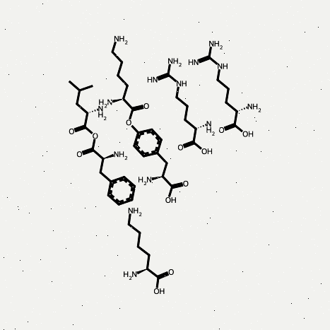 CC(C)C[C@H](N)C(=O)OC(=O)[C@@H](N)Cc1ccccc1.N=C(N)NCCC[C@H](N)C(=O)O.N=C(N)NCCC[C@H](N)C(=O)O.NCCCC[C@H](N)C(=O)O.NCCCC[C@H](N)C(=O)Oc1ccc(C[C@H](N)C(=O)O)cc1